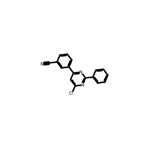 N#Cc1cccc(-c2cc(Cl)nc(-c3ccccc3)n2)c1